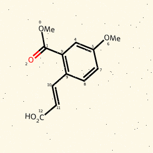 COC(=O)c1cc(OC)ccc1C=CC(=O)O